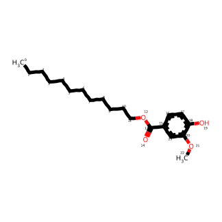 CCCCCCCCCCCCOC(=O)c1ccc(O)c(OC)c1